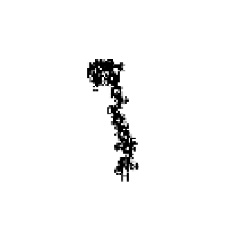 Cc1nc(-c2c(-c3nn(C(C)(C)C)c4ncnc(N)c34)noc2C2CC2)ncc1C1CCN(C(=O)OCC(=O)N2CCC(C(C)(C)N3CCN(c4c(F)cc(CN5CCC(=O)NC5=O)cc4F)CC3)CC2)CC1